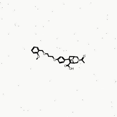 COc1ccccc1COCCCOc1ccc(C2=C(C(=O)O)C3CN(C(C)=O)CC(C2)N3)cc1